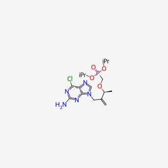 C=C(Cn1cnc2c(Cl)nc(N)nc21)[C@H](C)OCP(=O)(OC(C)C)OC(C)C